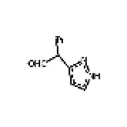 CC(C)C([C]=O)c1cc[nH]n1